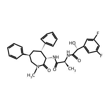 C[C@H](NC(=O)[C@H](O)c1cc(F)cc(F)c1)C(=O)N[C@@H]1C(=O)N(C)C[C@@H](c2ccccc2)C[C@@H]1c1ccccc1